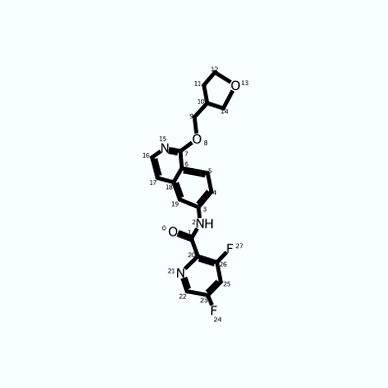 O=C(Nc1ccc2c(OCC3CCOC3)nccc2c1)c1ncc(F)cc1F